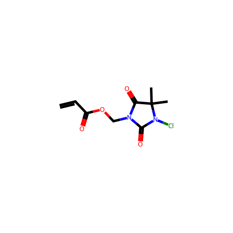 C=CC(=O)OCN1C(=O)N(Cl)C(C)(C)C1=O